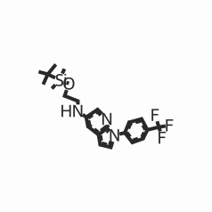 CC(C)(C)[Si](C)(C)OCCNc1cnc2c(ccn2-c2ccc(C(F)(F)F)cc2)c1